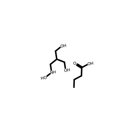 CCCC(=O)O.OCC(CO)CNO